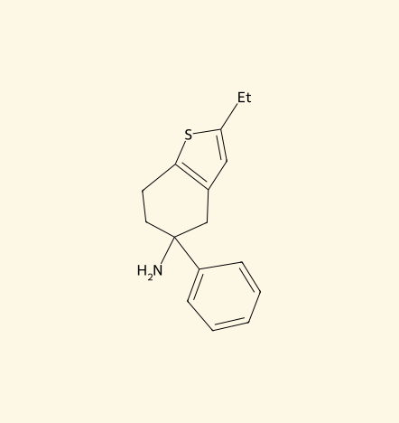 CCc1cc2c(s1)CCC(N)(c1ccccc1)C2